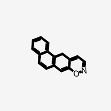 C1=NOC2=Cc3ccc4ccccc4c3CC2=C1